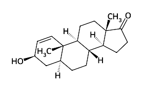 C[C@]12C=C[C@H](O)C[C@@H]1CC[C@@H]1[C@@H]2CC[C@]2(C)C(=O)CC[C@@H]12